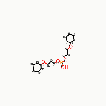 OP(OCCCOC1CCCCC1)OCCCOC1CCCCC1